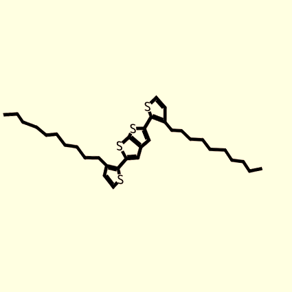 CCCCCCCCCCc1ccsc1-c1cc2cc(-c3sccc3CCCCCCCCCC)sc2s1